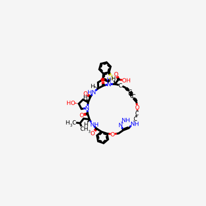 CC(C)C[C@H]1NC(=O)c2ccccc2OC/C(N=N)=C/NCCOc2ccc(cc2)C[C@@H](C(=O)O)NC(=O)[C@H](Cc2csc3ccccc23)NC(=O)[C@H]2C[C@@H](O)CN2C1=O